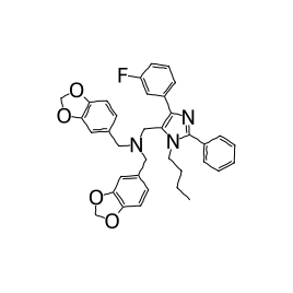 CCCCn1c(-c2ccccc2)nc(-c2cccc(F)c2)c1CN(Cc1ccc2c(c1)OCO2)Cc1ccc2c(c1)OCO2